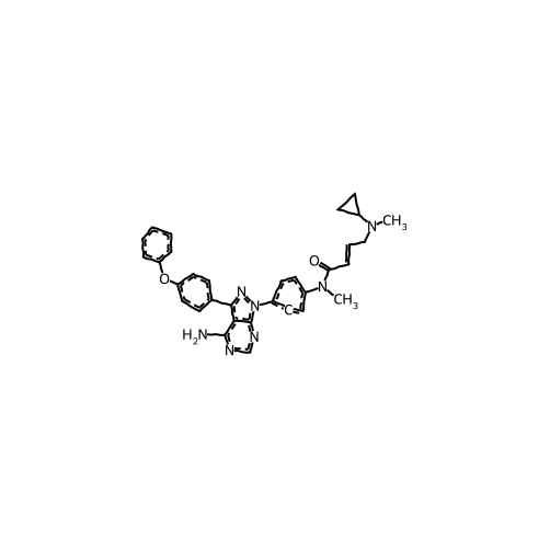 CN(C(=O)C=CCN(C)C1CC1)c1ccc(-n2nc(-c3ccc(Oc4ccccc4)cc3)c3c(N)ncnc32)cc1